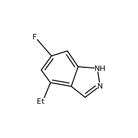 CCc1cc(F)cc2[nH]ncc12